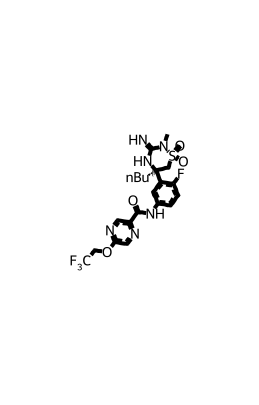 CCCC[C@@]1(c2cc(NC(=O)c3cnc(OCC(F)(F)F)cn3)ccc2F)CS(=O)(=O)N(C)C(=N)N1